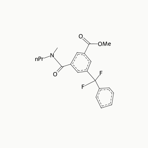 CCCN(C)C(=O)c1cc(C(=O)OC)cc(C(F)(F)c2ccccc2)c1